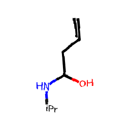 C=CCC(O)NC(C)C